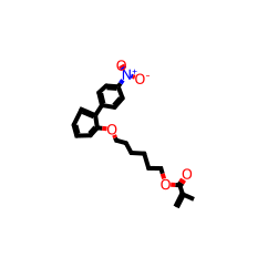 C=C(C)C(=O)OCCCCCCOc1ccccc1-c1ccc([N+](=O)[O-])cc1